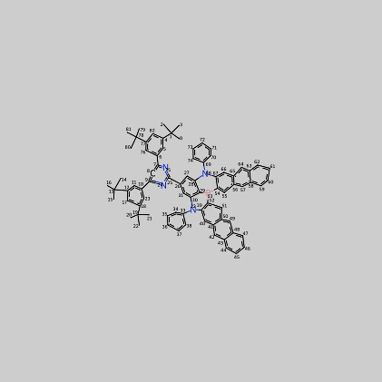 CC(C)(C)c1cc(-c2cc(-c3cc(C(C)(C)C)cc(C(C)(C)C)c3)nc(-c3cc4c5c(c3)N(c3ccccc3)c3cc6cc7ccccc7cc6cc3B5c3cc5cc6ccccc6cc5cc3N4c3ccccc3)n2)cc(C(C)(C)C)c1